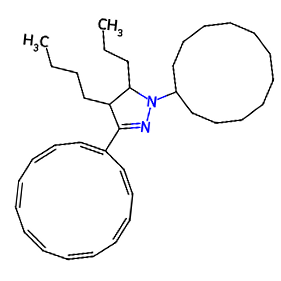 CCCCC1C(c2ccccccccccccc2)=NN(C2CCCCCCCCCCC2)C1CCC